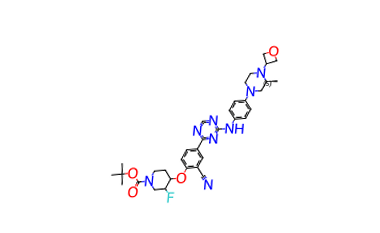 C[C@H]1CN(c2ccc(Nc3ncnc(-c4ccc(OC5CCN(C(=O)OC(C)(C)C)CC5F)c(C#N)c4)n3)cc2)CCN1C1COC1